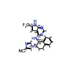 N#Cc1cn([C@@H]2CCc3ccccc3[C@@H]2Nc2ncnc3[nH]c(C(F)(F)F)cc23)cn1